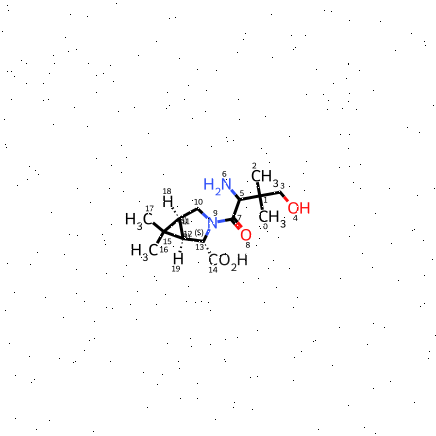 CC(C)(CO)C(N)C(=O)N1C[C@H]2[C@@H]([C@H]1C(=O)O)C2(C)C